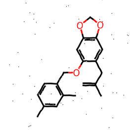 C=C(C)Cc1cc2c(cc1OCc1ccc(C)cc1C)OCO2